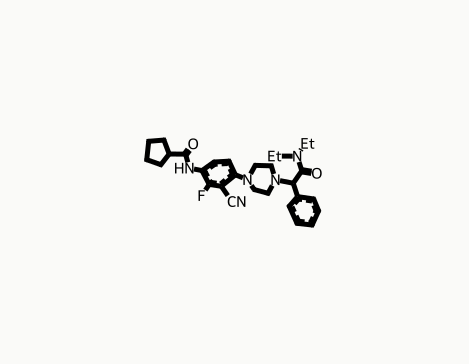 CCN(CC)C(=O)C(c1ccccc1)N1CCN(c2ccc(NC(=O)C3CCCC3)c(F)c2C#N)CC1